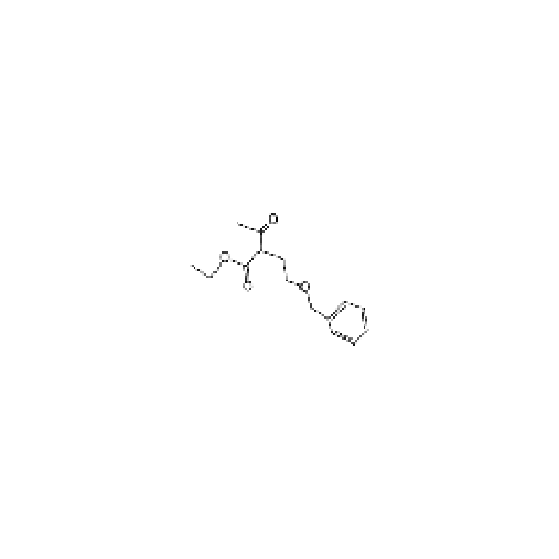 CCOC(=O)C(CCOCc1ccccc1)C(C)=O